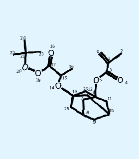 C=C(C)C(=O)OC12CC3CC(C1)CC(OC(C)C(=O)OOC(C)(C)C)(C3)C2